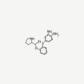 CCC(Oc1ccccc1Sc1ccc(N)c(N)c1)C1CCCN1